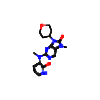 CN(c1ncc2c(n1)n(C1CCOCC1)c(=O)n2C)c1ccc[nH]c1=O